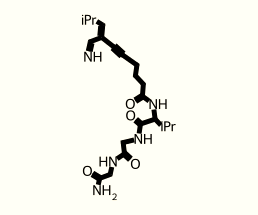 CC(C)/C=C(/C#CCCCC(=O)NC(C(=O)NCC(=O)NCC(N)=O)C(C)C)C=N